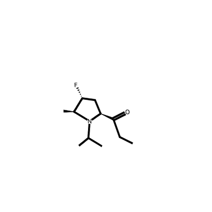 CCC(=O)[C@@H]1C[C@@H](F)[C@H](C)N1C(C)C